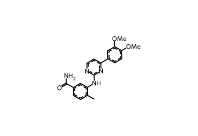 COc1ccc(-c2ccnc(Nc3cc(C(N)=O)ccc3C)n2)cc1OC